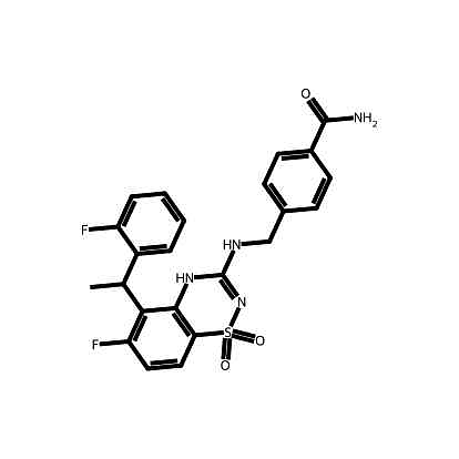 CC(c1ccccc1F)c1c(F)ccc2c1NC(NCc1ccc(C(N)=O)cc1)=NS2(=O)=O